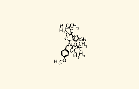 COc1ccc(CN(C(=O)OC(C)(C)C)C(=O)[C@@H]2C[C@H](S)CN2C(=O)OC(C)(C)C)cc1